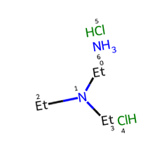 CCN(CC)CC.Cl.Cl.N